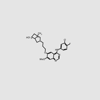 COc1cc2ncnc(Nc3ccc(F)c(Cl)c3)c2cc1OCCCN1CC2[C@H](O)C[C@]2(C)C1